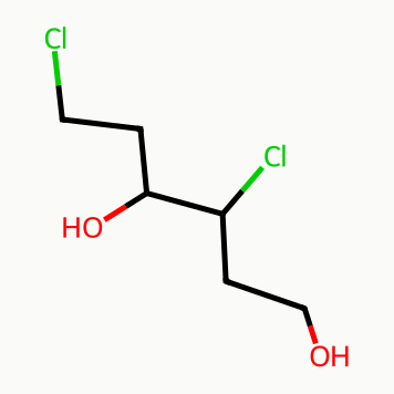 OCCC(Cl)C(O)CCCl